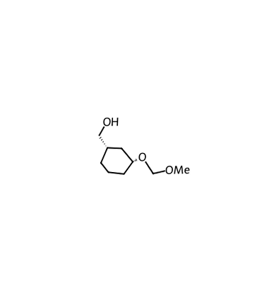 COCO[C@@H]1CCC[C@H](CO)C1